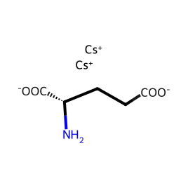 N[C@@H](CCC(=O)[O-])C(=O)[O-].[Cs+].[Cs+]